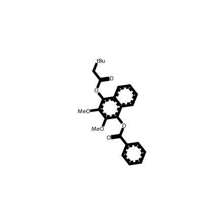 COc1c(OC)c(OC(=O)c2ccccc2)c2ccccc2c1OC(=O)CC(C)(C)C